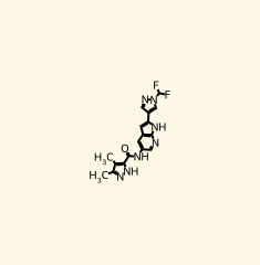 Cc1n[nH]c(C(=O)Nc2cnc3[nH]c(-c4cnn(C(F)F)c4)cc3c2)c1C